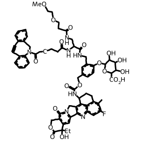 CCC1(O)C(=O)OCc2c1cc1n(c2=O)Cc2c-1nc1cc(F)c(C)c3c1c2C(NC(=O)OCc1ccc(OC2OC(C(=O)O)C(O)C(O)C2O)c(CNC(=O)C(CNC(=O)CCOCCOC)NC(=O)CCCCC(=O)N2Cc4ccccc4C#Cc4ccccc42)c1)CC3